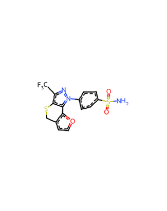 NS(=O)(=O)c1ccc(-n2nc(C(F)(F)F)c3c2-c2occc2CS3)cc1